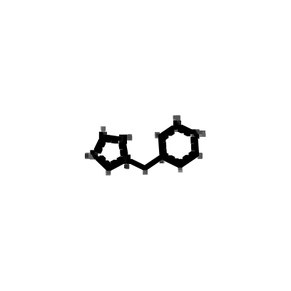 c1cc(Cn2cnnn2)cnn1